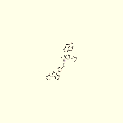 C=C/C(=C\C=C(/C)c1ccc(-c2nc3oc4ccccc4c3c3ccccc23)cc1)c1cc(-c2ccccc2)nc(-c2ccc3ccc4cccc5ccc2c3c45)n1